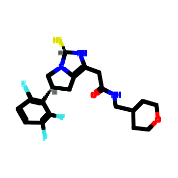 O=C(CC1=C2C[C@H](c3c(F)ccc(F)c3F)CN2[C@H](S)N1)NCC1CCOCC1